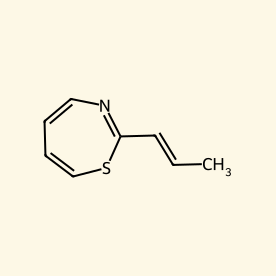 CC=CC1=NC=CC=CS1